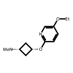 CCOc1ccc(O[C@H]2C[C@@H](NC)C2)nc1